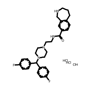 Cl.Cl.Cl.O=C(NCCN1CCN(C(c2ccc(F)cc2)c2ccc(F)cc2)CC1)c1ccc2c(c1)CNCCC2